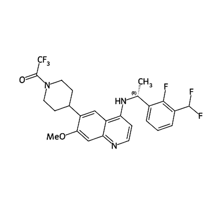 COc1cc2nccc(N[C@H](C)c3cccc(C(F)F)c3F)c2cc1C1CCN(C(=O)C(F)(F)F)CC1